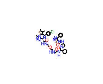 Cc1sc2c(c1C)C(c1ccc(Cl)cc1)=N[C@@H](CC(=O)NCCOCCN[C@@H](C)C(=O)N[C@@H](C(=O)N1CCC[C@H]1C(=O)Nc1snnc1-c1ccccc1)C1CCCCC1)c1nnc(C)n1-2